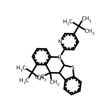 CC(C)(C)c1ccc(B2c3cccc(C(C)(C)C)c3C(C)(C)C3c4ccccc4SC23)nc1